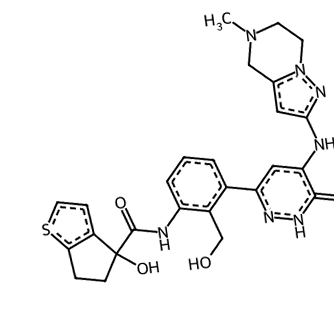 CN1CCn2nc(Nc3cc(-c4cccc(NC(=O)C5(O)CCc6sccc65)c4CO)n[nH]c3=O)cc2C1